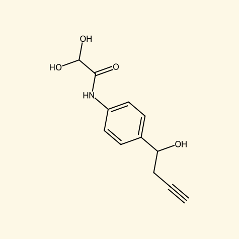 C#CCC(O)c1ccc(NC(=O)C(O)O)cc1